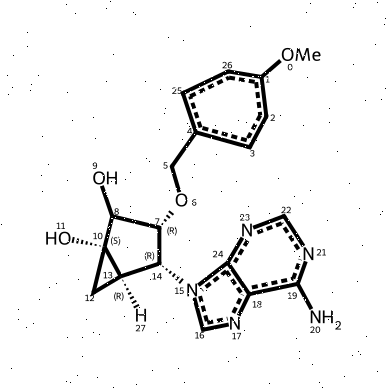 COc1ccc(CO[C@H]2C(O)[C@]3(O)C[C@@H]3[C@H]2n2cnc3c(N)ncnc32)cc1